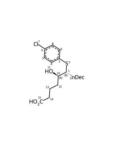 CCCCCCCCCC[C@@H](Sc1ccc(Cl)cc1)[C@H](O)CCCC(=O)O